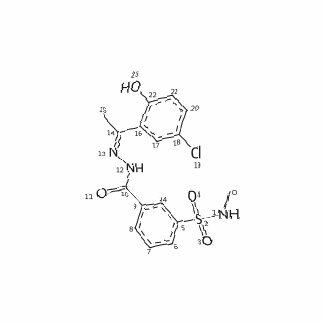 CNS(=O)(=O)c1cccc(C(=O)NN=C(C)c2cc(Cl)ccc2O)c1